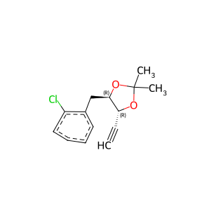 C#C[C@H]1OC(C)(C)O[C@@H]1Cc1ccccc1Cl